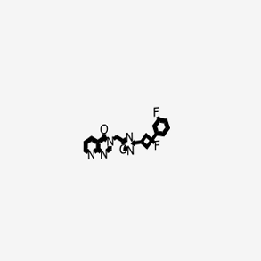 O=c1c2cccnc2ncn1Cc1nc(C2CC(F)(c3cccc(F)c3)C2)no1